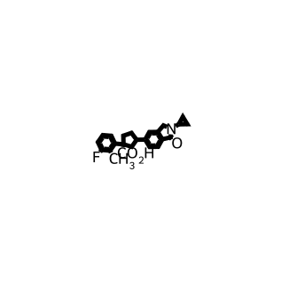 Cc1c(F)cccc1C1(C(=O)O)CCC(c2ccc3c(c2)CN(C2CC2)C3=O)C1